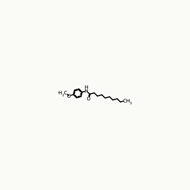 [CH2]Oc1ccc(NC(=O)CCCCCCCCC)cc1